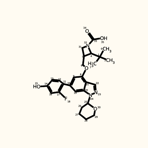 CC(C)(C)C1C(COc2cc(-c3ccc(O)cc3F)cc3c2cnn3C2CCCCO2)CN1C(=O)O